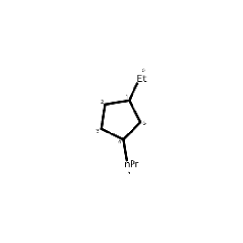 [CH2]CC1CCC(CCC)C1